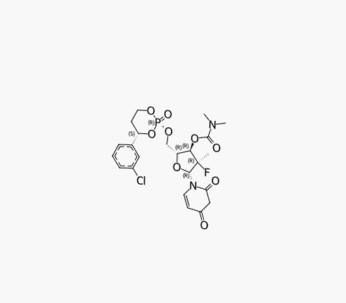 CN(C)C(=O)O[C@@H]1[C@@H](CO[P@@]2(=O)OCC[C@@H](c3cccc(Cl)c3)O2)O[C@@H](N2C=CC(=O)CC2=O)[C@]1(C)F